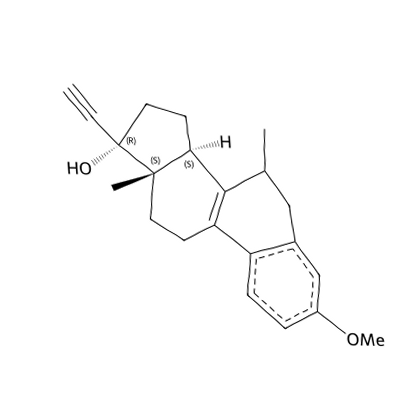 C#C[C@@]1(O)CC[C@H]2C3=C(CC[C@@]21C)c1ccc(OC)cc1CC3C